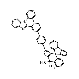 CC1(C)c2ccccc2C2(c3ccccc3-c3ccccc32)c2cc(-c3ccc(-c4ccc5c6ccccc6n6c7ccccc7nc6c5c4)cc3)ccc21